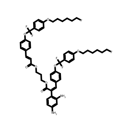 Nc1ccc(C(=Cc2ccc(OC(F)(F)c3ccc(OCCCCCCF)cc3)cc2)C(=O)OCCCOC(=O)C=Cc2ccc(OC(F)(F)c3ccc(OCCCCCCF)cc3)cc2)c(N)c1